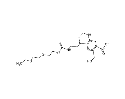 CCOCCOCCOC(=O)NCCN1CCNc2cc([N+](=O)[O-])c(CO)cc21